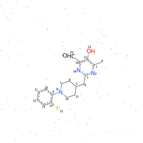 Cc1nc(CC2CCN(c3ccccc3F)CC2)nc([C]=O)c1O